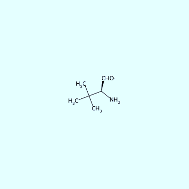 CC(C)(C)[C@H](N)[C]=O